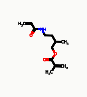 C=CC(=O)NCCC(C)COC(=O)C(=C)C